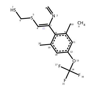 C.C=N/C(=C\SCS)c1c(C)cc(OC(F)(F)F)cc1C